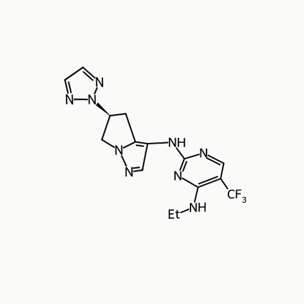 CCNc1nc(Nc2cnn3c2C[C@H](n2nccn2)C3)ncc1C(F)(F)F